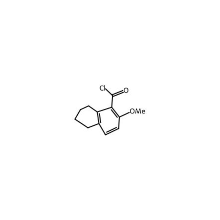 COc1ccc2c(c1C(=O)Cl)CCCC2